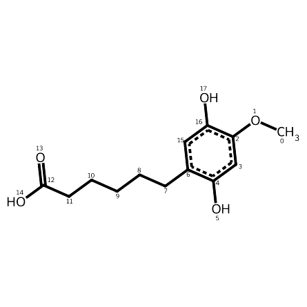 COc1cc(O)c(CCCCCC(=O)O)cc1O